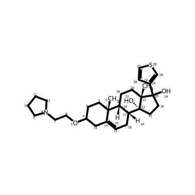 C[C@]12CCC(OCCN3CCCC3)CC1=CC[C@@H]1[C@H]2CC[C@]2(C)C(O)(c3ccsc3)CC[C@@]12O